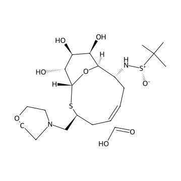 CC(C)(C)[S@+]([O-])N[C@@H]1C/C=C\C[C@@H](CN2CCOCC2)S[C@H]2O[C@H]1[C@H](O)[C@H](O)[C@H]2O.O=CO